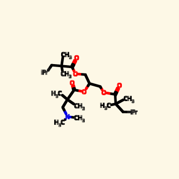 CC(C)CC(C)(C)C(=O)OCC(COC(=O)C(C)(C)CC(C)C)OC(=O)C(C)(C)CN(C)C